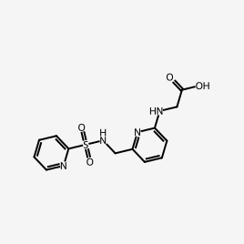 O=C(O)CNc1cccc(CNS(=O)(=O)c2ccccn2)n1